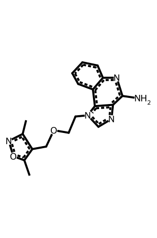 Cc1noc(C)c1COCCn1cnc2c(N)nc3ccccc3c21